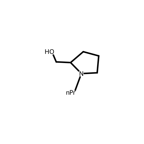 CCCN1CCCC1CO